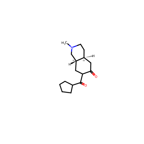 CN1CC[C@H]2CC(=O)C(C(=O)C3CCCC3)C[C@@H]2C1